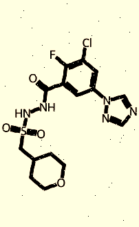 O=C(NNS(=O)(=O)CC1CCOCC1)c1cc(-n2cncn2)cc(Cl)c1F